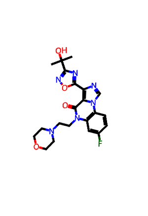 CC(C)(O)c1noc(-c2ncn3c2c(=O)n(CCN2CCOCC2)c2cc(F)ccc23)n1